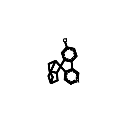 Clc1ccc2c(c1)C1(c3ccncc3-2)C2CC3CC(C2)C1C3